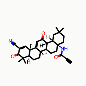 C#CC(=O)N[C@]12CCC(C)(C)C[C@H]1[C@H]1C(=O)C=C3[C@@]4(C)C=C(C#N)C(=O)C(C)(C)[C@@H]4CC[C@@]3(C)[C@]1(C)CC2